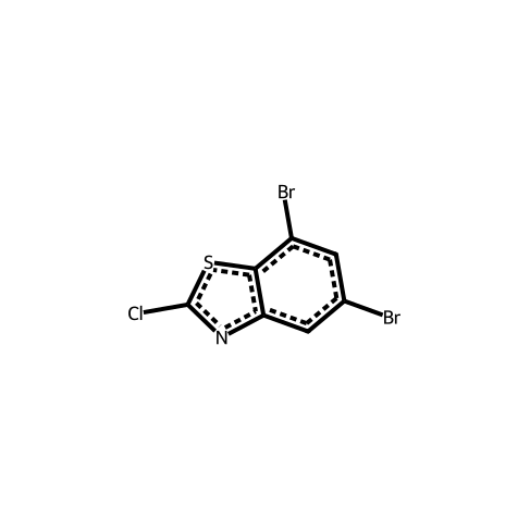 Clc1nc2cc(Br)cc(Br)c2s1